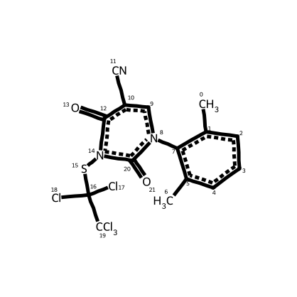 Cc1cccc(C)c1-n1cc(C#N)c(=O)n(SC(Cl)(Cl)C(Cl)(Cl)Cl)c1=O